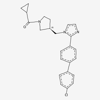 O=C(C1CC1)N1CC[C@@H](Cn2ccnc2-c2ccc(-c3ccc(Cl)cc3)cc2)C1